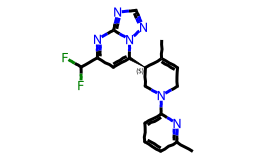 CC1=CCN(c2cccc(C)n2)C[C@H]1c1cc(C(F)F)nc2ncnn12